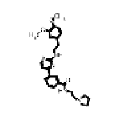 COc1ccc(CCNc2nccc(-c3cccc(C(=O)NCCN4CCCC4)c3)n2)cc1OC